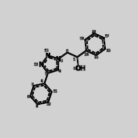 OC(Cn1cc(-c2ccccc2)nn1)c1ccccc1